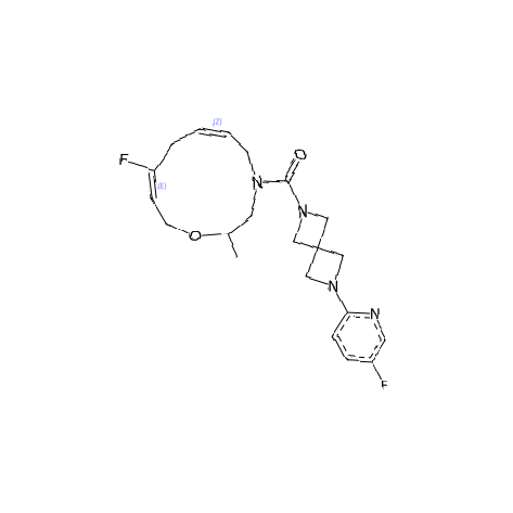 CC1CN(C(=O)N2CC3(C2)CN(c2ccc(F)cn2)C3)C/C=C\C/C(F)=C\CO1